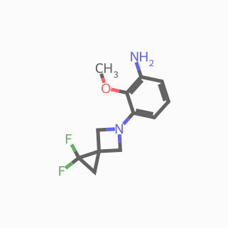 COc1c(N)cccc1N1CC2(C1)CC2(F)F